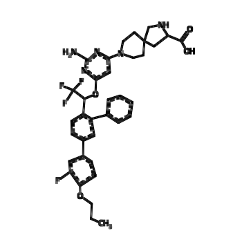 CCCOc1ccc(-c2ccc(C(Oc3cc(N4CCC5(CC4)CNC(C(=O)O)C5)nc(N)n3)C(F)(F)F)c(-c3ccccc3)c2)cc1F